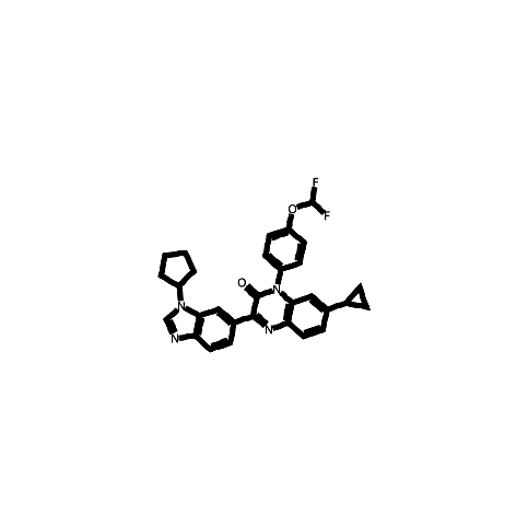 O=c1c(-c2ccc3ncn(C4CCCC4)c3c2)nc2ccc(C3CC3)cc2n1-c1ccc(OC(F)F)cc1